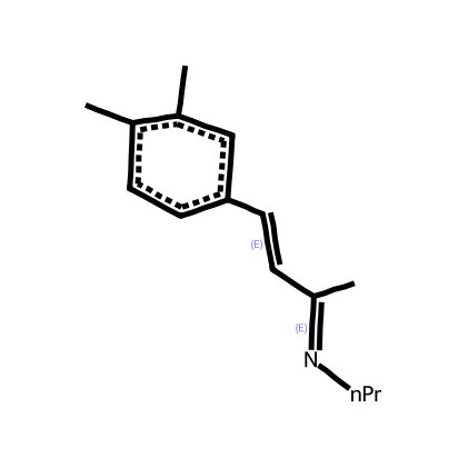 CCC/N=C(C)/C=C/c1ccc(C)c(C)c1